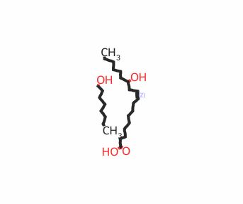 CCCCCCC(O)C/C=C\CCCCCCCC(=O)O.CCCCCCCCO